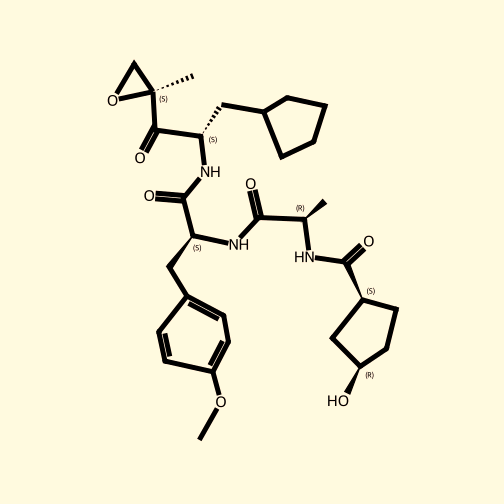 COc1ccc(C[C@H](NC(=O)[C@@H](C)NC(=O)[C@H]2CC[C@@H](O)C2)C(=O)N[C@@H](CC2CCCC2)C(=O)[C@]2(C)CO2)cc1